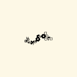 N#Cc1cc(-n2ccc3cc(OCC4(F)CN(C[SH](=O)=O)C4)ccc32)cc(Cl)c1OCCCl